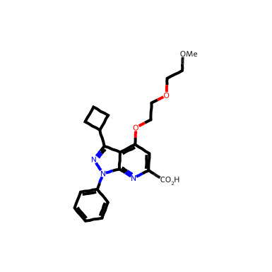 COCCOCCOc1cc(C(=O)O)nc2c1c(C1CCC1)nn2-c1ccccc1